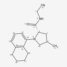 CC1C[C@@H](C(=O)NCC#N)N(c2cccc3c2CCCC3)C1